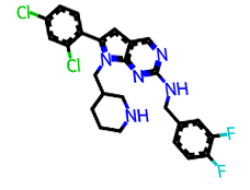 Fc1ccc(CNc2ncc3cc(-c4ccc(Cl)cc4Cl)n(CC4CCCNC4)c3n2)cc1F